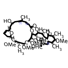 CO[C@H]([C@H](C)/C=C/N(C)C=O)[C@@H](C)C(=O)CC[C@H](C)[C@H](O)[C@H](C)[C@H]1OC(=O)/C=C\C(C)=C/C[C@@H](O)C[C@@H]2C=CC[C@@H](C[C@H](OC)[C@@H](C)[C@@H](OC)C[C@@H](OC)[C@@H]1C)O2